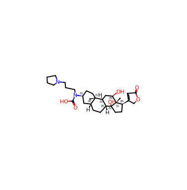 C[C@]12CC[C@H](N(CCCN3CCCC3)C(=O)O)C[C@H]1CC[C@@H]1[C@@H]2C[C@@H](O)[C@]2(C)[C@@H](C3=CC(=O)OC3)CC[C@]12O